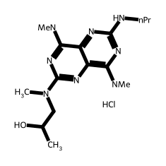 CCCNc1nc(NC)c2nc(N(C)CC(C)O)nc(NC)c2n1.Cl